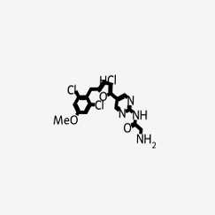 COc1cc(Cl)c(Cc2ccc(-c3cnc(NC(=O)CN)nc3)o2)c(Cl)c1.Cl